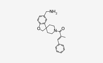 CC(=Cc1ccccc1)C(=O)N1CCC2(CC1)COc1ccc(CN)cc12